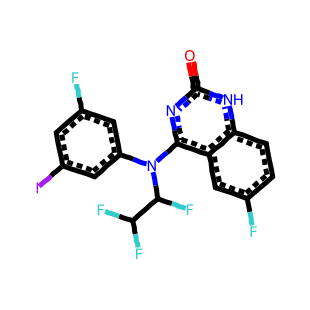 O=c1nc(N(c2cc(F)cc(I)c2)C(F)C(F)F)c2cc(F)ccc2[nH]1